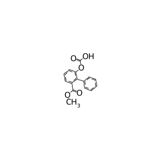 COC(=O)c1cccc(OC(=O)O)c1-c1ccccc1